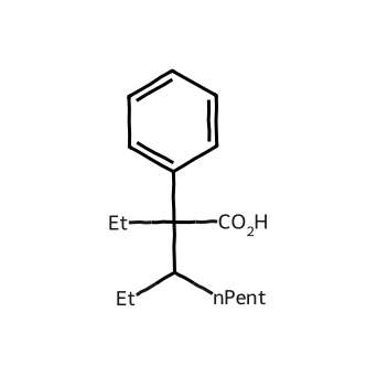 CCCCCC(CC)C(CC)(C(=O)O)c1ccccc1